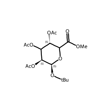 COC(=O)C1O[C@@H](OC(C)(C)C)[C@@H](OC(C)=O)C(OC(C)=O)[C@@H]1OC(C)=O